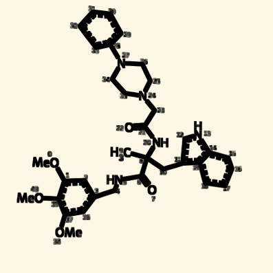 COc1cc(CNC(=O)C(C)(Cc2c[nH]c3ccccc23)NC(=O)CN2CCN(c3ccccc3)CC2)cc(OC)c1OC